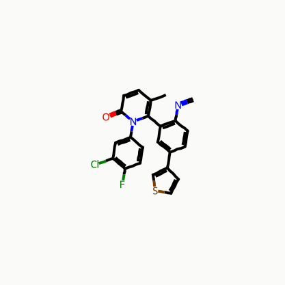 C=Nc1ccc(-c2ccsc2)cc1-c1c(C)ccc(=O)n1-c1ccc(F)c(Cl)c1